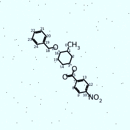 C[C@H]1C[C@H](OC(=O)c2ccc([N+](=O)[O-])cc2)CC[C@@H]1OCc1ccccc1